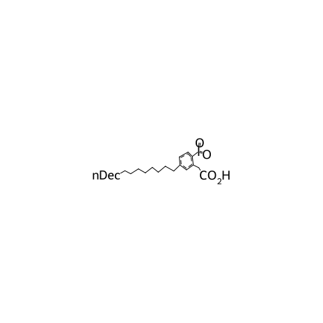 CCCCCCCCCCCCCCCCCCc1ccc(I(=O)=O)c(CC(=O)O)c1